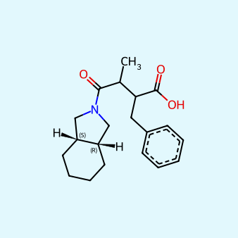 CC(C(=O)N1C[C@H]2CCCC[C@H]2C1)C(Cc1ccccc1)C(=O)O